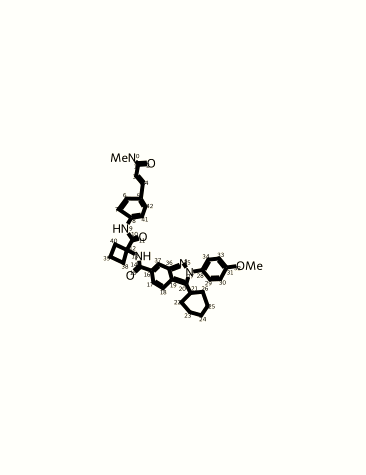 CNC(=O)/C=C/c1ccc(NC(=O)C2(NC(=O)c3ccc4c(C5CCCCC5)n(-c5ccc(OC)cc5)nc4c3)CCC2)cc1